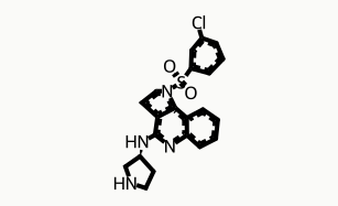 O=S(=O)(c1cccc(Cl)c1)n1ccc2c(N[C@@H]3CCNC3)nc3ccccc3c21